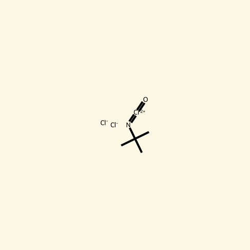 CC(C)(C)[N]=[Cr+2]=[O].[Cl-].[Cl-]